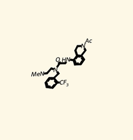 CNCCN(Cc1ccccc1C(F)(F)F)C(=O)CNc1cccc2c1CCN(C(C)=O)C2